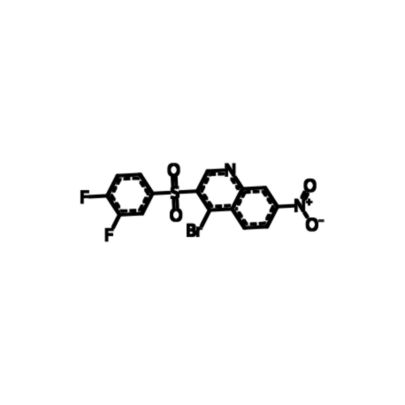 O=[N+]([O-])c1ccc2c(Br)c(S(=O)(=O)c3ccc(F)c(F)c3)cnc2c1